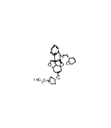 O=C(O)N1CC[C@@H](OC2=CCC3C(=C2)OCC32C(=O)N(C[C@H]3CCCO3)c3ccccc32)C1